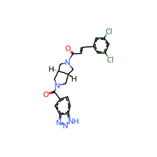 O=C(C=Cc1cc(Cl)cc(Cl)c1)N1C[C@@H]2CN(C(=O)c3ccc4[nH]nnc4c3)C[C@H]2C1